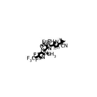 CC[S+]([O-])c1c(-c2nc3cc(C(F)(F)C(F)(F)F)cnc3n2C)nc(-c2ccc(C3(C#N)CC3)nc2)n1C